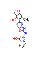 CCN1C[C@@H](O)C[C@@H](Nc2nc3nc(-c4c(C)cc5c(c4O)CCO5)ccc3o2)C1